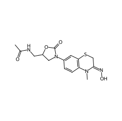 CC(=O)NCC1CN(c2ccc3c(c2)SCC(=NO)N3C)C(=O)O1